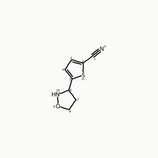 N#Cc1ccc(C2CCON2)s1